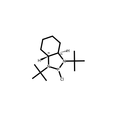 CC(C)(C)N1[C@@H]2CCCC[C@H]2N(C(C)(C)C)P1Cl